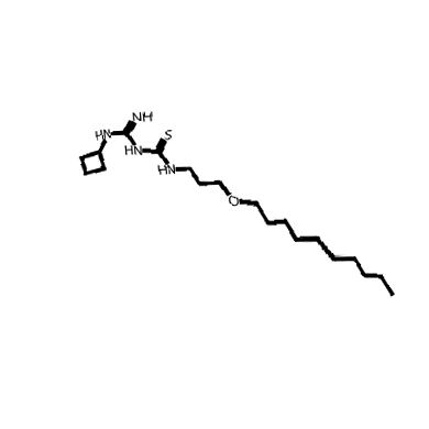 CCCCCCCCCCOCCCNC(=S)NC(=N)NC1CCC1